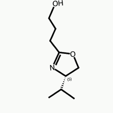 CC(C)[C@H]1COC(CCCO)=N1